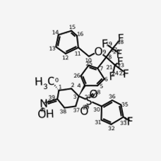 C[C@@H]1C[C@](c2ccc(C(OCc3ccccc3)(C(F)(F)F)C(F)(F)F)cc2)(S(=O)(=O)c2ccc(F)cc2)CCC1=NO